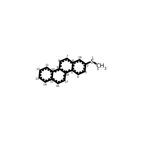 CSc1ccc2c(ccc3c4ccccc4ccc23)c1